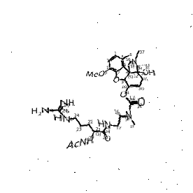 COc1ccc(C)c2c1OC1C(OC(=O)N(C)CCNC(=O)[C@H](CCCNC(=N)N)NC(C)=O)=CCC3(O)[C@@H](C)N(C)CC[C@]213